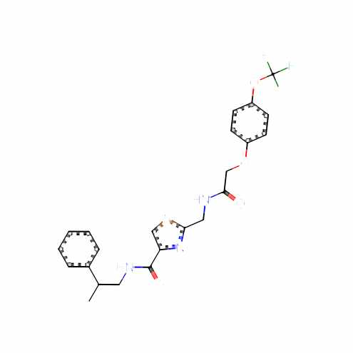 CC(CNC(=O)c1csc(CNC(=O)COc2ccc(OC(F)(F)F)cc2)n1)c1ccccc1